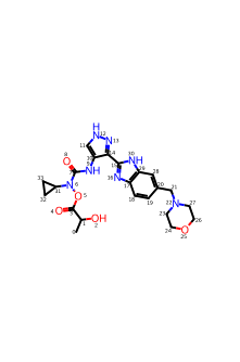 CC(O)C(=O)ON(C(=O)Nc1c[nH]nc1-c1nc2ccc(CN3CCOCC3)cc2[nH]1)C1CC1